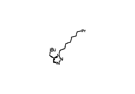 CCC(C)Cc1cnnn1CCCCCCCC(C)C